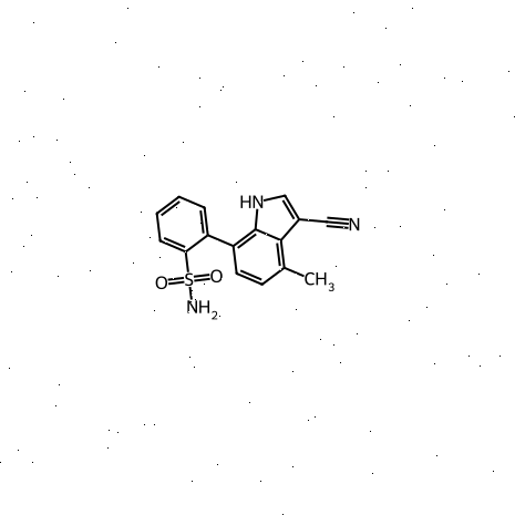 Cc1ccc(-c2ccccc2S(N)(=O)=O)c2[nH]cc(C#N)c12